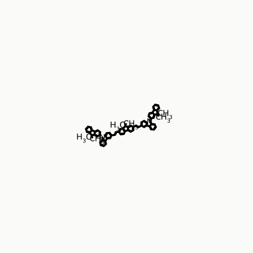 CC1(C)c2cc(/C=C/c3ccc4c(c3)c3ccccc3n4-c3ccc4c(c3)C(C)(C)c3ccccc3-4)ccc2-c2ccc(/C=C/c3ccc4c(c3)c3ccccc3n4-c3ccc4c(c3)C(C)(C)c3ccccc3-4)cc21